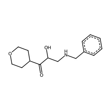 O=C(C(O)CNCc1ccccc1)C1CCOCC1